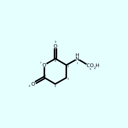 O=C(O)NC1CCC(=O)OC1=O